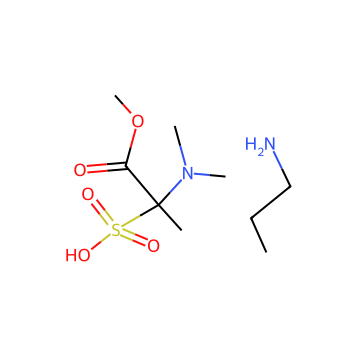 CCCN.COC(=O)C(C)(N(C)C)S(=O)(=O)O